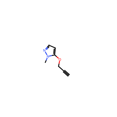 C#CCOc1c[c]nn1C